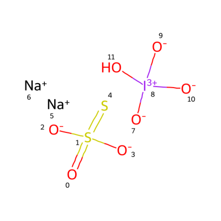 O=S([O-])([O-])=S.[Na+].[Na+].[O-][I+3]([O-])([O-])O